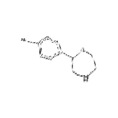 Brc1ccc(C2CNCCO2)cc1